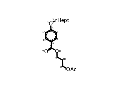 CCCCCCCOc1ccc(C(=O)OCCCOC(C)=O)cc1